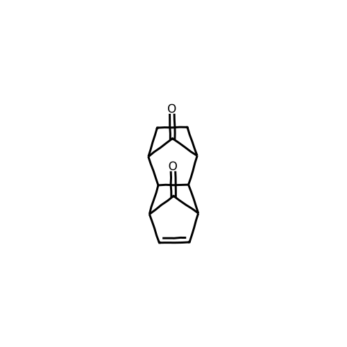 O=C1C2C=CC1C1C3CCC(C3=O)C21